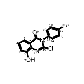 O=c1c2cccc(O)c2nc(Cl)n1-c1ccc(F)cc1